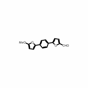 COc1ccc(-c2ccc(-c3ccc(C=O)o3)cc2)o1